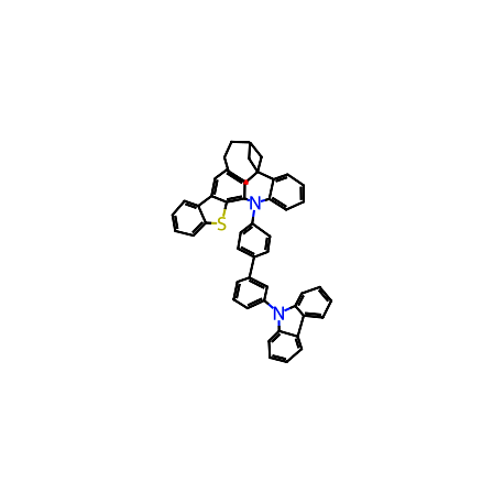 c1cc(-c2ccc(N(c3ccccc3C34CCCCC(C3)C4)c3cccc4c3sc3ccccc34)cc2)cc(-n2c3ccccc3c3ccccc32)c1